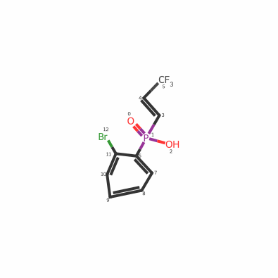 O=P(O)(C=CC(F)(F)F)c1ccccc1Br